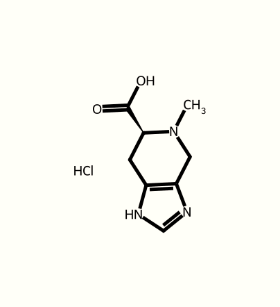 CN1Cc2nc[nH]c2C[C@H]1C(=O)O.Cl